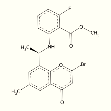 COC(=O)c1c(F)cccc1N[C@H](C)c1cc(C)cc2c(=O)cc(Br)oc12